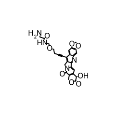 NCC(=O)NCOCCC#Cc1c2c(nc3cc4c(cc13)OCO4)-c1cc3c(c(=O)n1C2)COC(=O)[C@H]3O